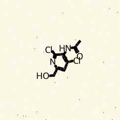 CC(=O)Nc1c(Cl)cc(CO)nc1Cl